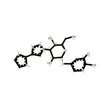 N#Cc1ncc(S[C@H]2OC(CO)[C@H](O)C(n3cc(-c4nccs4)nn3)C2O)cc1Cl